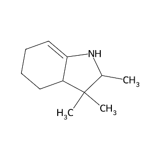 CC1NC2=CCCCC2C1(C)C